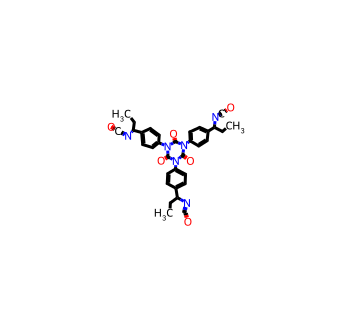 CCC(N=C=O)c1ccc(-n2c(=O)n(-c3ccc(C(CC)N=C=O)cc3)c(=O)n(-c3ccc(C(CC)N=C=O)cc3)c2=O)cc1